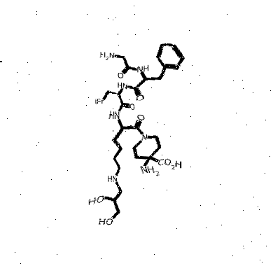 CC(C)C[C@@H](NC(=O)C(Cc1ccccc1)NC(=O)CN)C(=O)NC(CCCCNCC(O)CO)C(=O)N1CCC(N)(C(=O)O)CC1